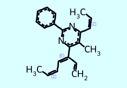 C=C/C(=C\C=C/C)c1nc(-c2ccccc2)nc(/C=C\C)c1C